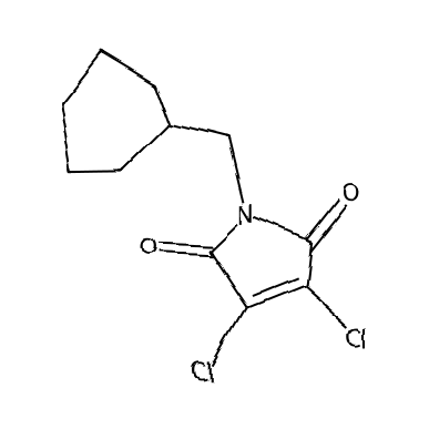 O=C1C(Cl)=C(Cl)C(=O)N1CC1CCCCC1